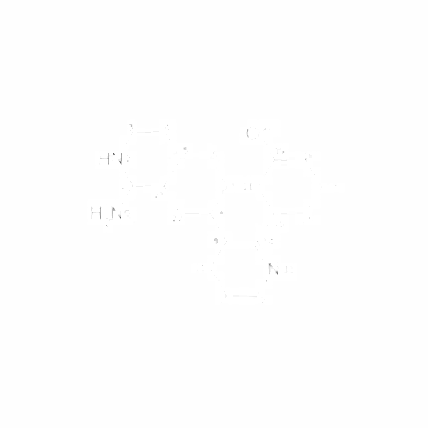 NC1NCCC2CCC(C3CCCN=C3C3CCCC(Cl)C3)CC21